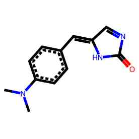 CN(C)c1ccc(C=C2C=NC(=O)N2)cc1